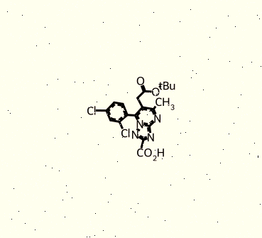 Cc1nc2nc(C(=O)O)nn2c(-c2ccc(Cl)cc2Cl)c1CC(=O)OC(C)(C)C